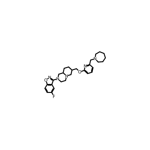 Fc1ccc2onc(N3CCN4CC(COc5cccc(CN6CCCCCC6)n5)CCC4C3)c2c1